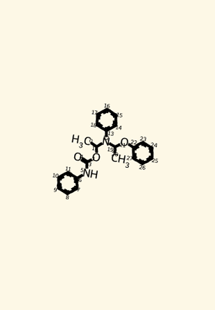 CC(OC(=O)Nc1ccccc1)N(c1ccccc1)C(C)Oc1ccccc1